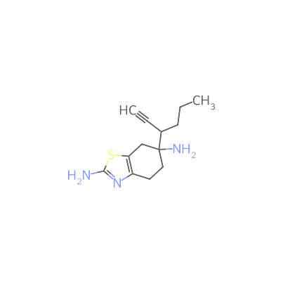 C#CC(CCC)C1(N)CCc2nc(N)sc2C1